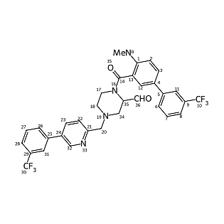 CNc1ccc(-c2cccc(C(F)(F)F)c2)cc1C(=O)N1CCN(Cc2ccc(-c3cccc(C(F)(F)F)c3)cn2)CC1C=O